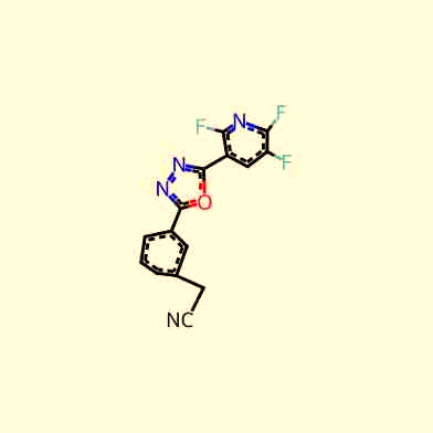 N#CCc1cccc(-c2nnc(-c3cc(F)c(F)nc3F)o2)c1